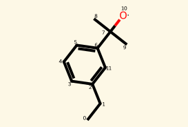 CCc1cccc(C(C)(C)[O])c1